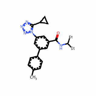 CCC(CC)NC(=O)c1cc(-c2ccc(C)cc2)cc(-n2nnnc2C2CC2)c1